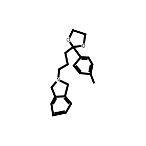 Cc1ccc(C2(CCCN3Cc4ccccc4C3)OCCO2)cc1